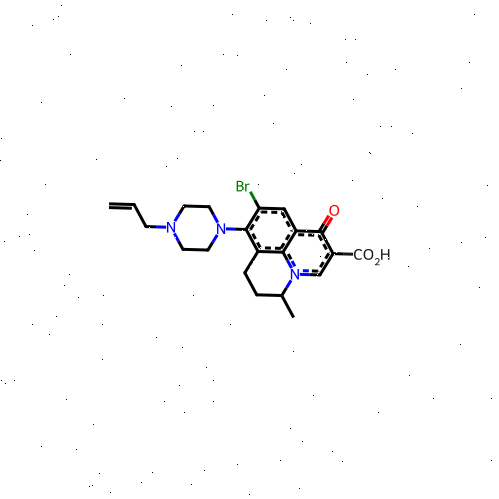 C=CCN1CCN(c2c(Br)cc3c(=O)c(C(=O)O)cn4c3c2CCC4C)CC1